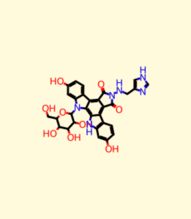 O=C1c2c(c3c4ccc(O)cc4n(C4OC(CO)C(O)C(O)C4O)c3c3[nH]c4cc(O)ccc4c23)C(=O)N1NCc1c[nH]cn1